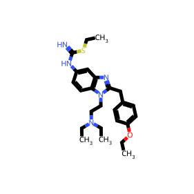 CCOc1ccc(Cc2nc3cc(NC(=N)SCC)ccc3n2CCN(CC)CC)cc1